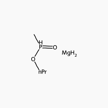 CCCO[PH](C)=O.[MgH2]